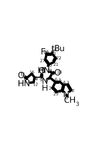 Cn1ccc2cc(C(NC(=O)[C@H]3CNC(=O)C3)C(=O)Nc3ccc(C(C)(C)C)c(F)c3)ccc21